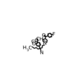 CCCCCC(C#N)(CCCN1CCC(C(=O)c2ccc(F)cc2)CC1)c1ccc(OC)c(OC)c1